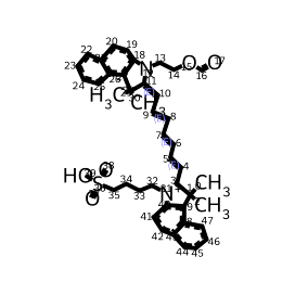 CC1(C)C(/C=C/C=C/C=C/C=C2/N(CCOC=O)c3ccc4ccccc4c3C2(C)C)=[N+](CCCCS(=O)(=O)O)c2ccc3ccccc3c21